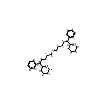 c1ccc(C(CCCCSCCCCC(c2ccccc2)C2CCCCO2)C2CCCCO2)cc1